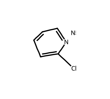 Clc1ccccn1.[N]